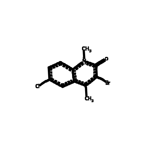 Cc1c(Br)c(=O)n(C)c2ccc(Cl)cc12